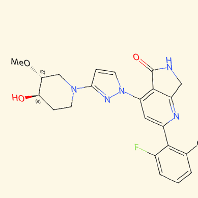 CO[C@@H]1CN(c2ccn(-c3cc(-c4c(F)cccc4C#N)nc4c3C(=O)NC4)n2)CC[C@H]1O